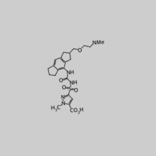 CNCCOCC1Cc2cc3c(c(NC(=O)NS(=O)(=O)c4cc(C(=O)O)n(C)n4)c2C1)CCC3